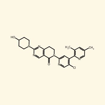 Cc1cnc(-c2cc(N3CCc4nc(N5CCC(O)CC5)ncc4C3=O)ncc2Cl)c(C)c1